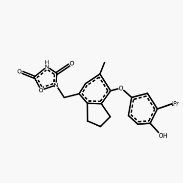 Cc1cc(Cn2oc(=O)[nH]c2=O)c2c(c1Oc1ccc(O)c(C(C)C)c1)CCC2